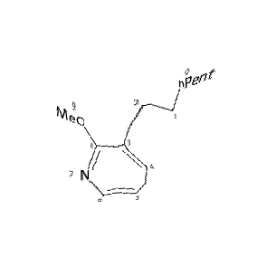 CCCCCCCc1cccnc1OC